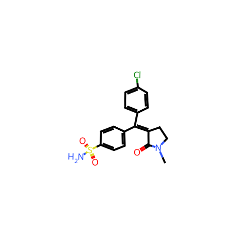 CN1CCC(=C(c2ccc(Cl)cc2)c2ccc(S(N)(=O)=O)cc2)C1=O